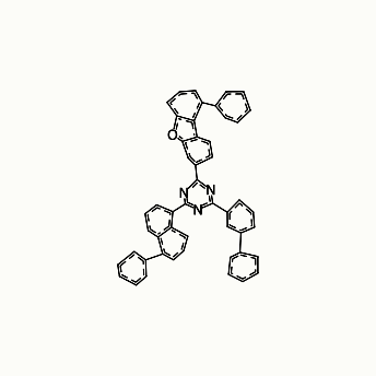 c1ccc(-c2cccc(-c3nc(-c4ccc5c(c4)oc4cccc(-c6ccccc6)c45)nc(-c4cccc5c(-c6ccccc6)cccc45)n3)c2)cc1